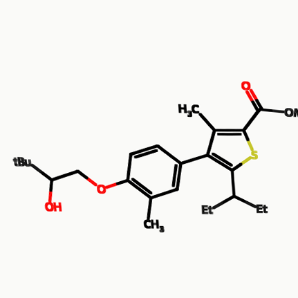 CCC(CC)c1sc(C(=O)OC)c(C)c1-c1ccc(OCC(O)C(C)(C)C)c(C)c1